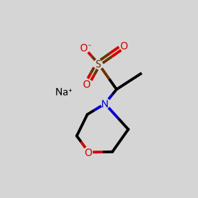 CC(N1CCOCC1)S(=O)(=O)[O-].[Na+]